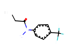 CCC(=O)N(N)c1ccc(C(F)(F)F)cc1